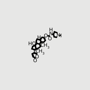 C[C@]12CC[C@H](OC(=O)NC3CCN(I)CC3)C[C@H]1CCC1C2CC[C@]2(C)[C@@H](c3ccc(=O)oc3)CC[C@]12O